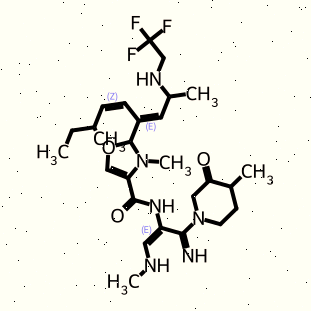 CCC(C)/C=C\C(=C/C(C)NCC(F)(F)F)C1OC=C(C(=O)N/C(=C/NC)C(=N)N2CCC(C)C(=O)C2)N1C